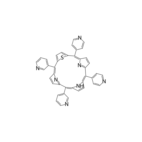 C1=Cc2nc1c(-c1ccncc1)c1ccc([nH]1)c(-c1cccnc1)c1nc(c(-c3cccnc3)c3ccc(s3)c2-c2ccncc2)C=C1